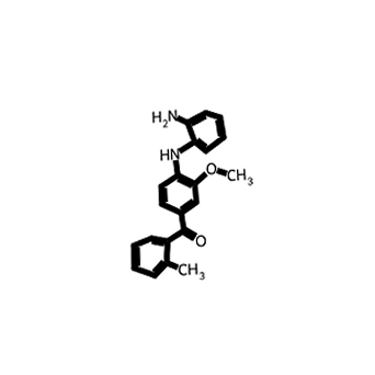 COc1cc(C(=O)c2ccccc2C)ccc1Nc1ccccc1N